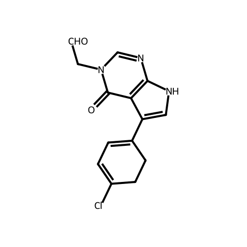 O=CCn1cnc2[nH]cc(C3=CC=C(Cl)CC3)c2c1=O